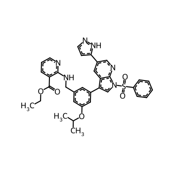 CCOC(=O)c1cccnc1NCc1cc(OC(C)C)cc(-c2cn(S(=O)(=O)c3ccccc3)c3ncc(-c4ccn[nH]4)cc23)c1